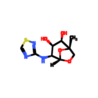 C[C@@]12CO[C@@H](O1)[C@@H](Nc1ncsn1)[C@@H](O)[C@H]2O